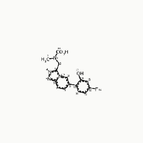 CN(Cc1nnc2ccc(-c3ccc(F)cc3O)cn12)C(=O)O